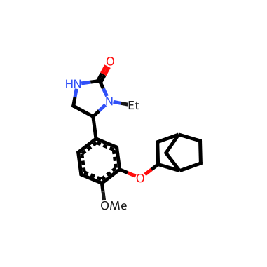 CCN1C(=O)NCC1c1ccc(OC)c(OC2CC3CCC2C3)c1